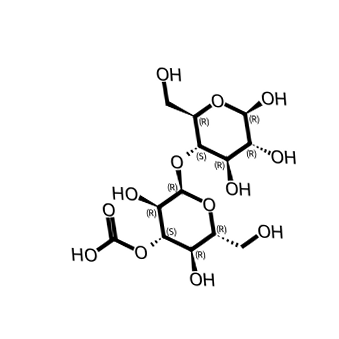 O=C(O)O[C@@H]1[C@@H](O)[C@@H](O[C@H]2[C@H](O)[C@@H](O)[C@H](O)O[C@@H]2CO)O[C@H](CO)[C@H]1O